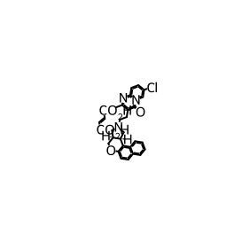 Cc1nc2ccc(Cl)cn2c(=O)c1CCN1C[C@@H]2COc3ccc4ccccc4c3[C@@H]2C1.O=C(O)/C=C/C(=O)O